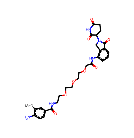 COc1cc(C(=O)NCCOCCOCCOCC(=O)Nc2cccc3c2CN(C2CCC(=O)NC2=O)C3=O)ccc1N